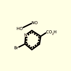 O=C(O)c1ccc(Br)nc1.O=NO